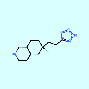 FC1(CCc2nn[nH]n2)CCC2CNCCC2C1